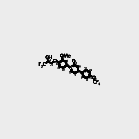 COc1cc(-n2ccc(-c3ccc(OC(F)(F)F)cc3)cc2=O)ccc1OCC(O)C(F)(F)F